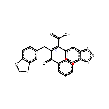 O=C(O)/C(=C(\Cc1ccc2c(c1)OCO2)C(=O)c1ccccc1)c1ccc2nsnc2c1